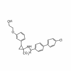 O=C(O)C1(NSc2ccc(-c3ccc(Cl)cc3)cc2)CC1c1cccc(OCCO)c1